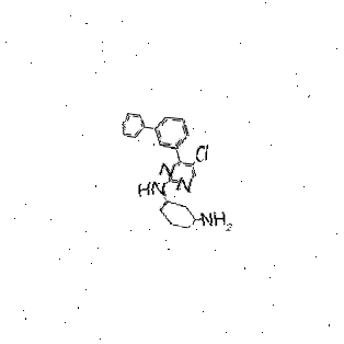 N[C@H]1CCC[C@H](Nc2ncc(Cl)c(-c3cccc(-c4ccccc4)c3)n2)C1